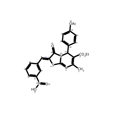 CCOC(=O)C1=C(C)N=c2s/c(=C\c3cccc([N+](=O)O)c3)c(=O)n2C1c1ccc(OC(C)=O)cc1